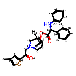 Cc1csc(C(=O)C[N+]23CCC(CC2)[C@@H](OC(=O)C(Nc2ccccc2)c2ccccc2)C3)c1